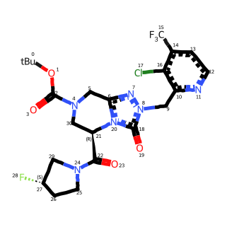 CC(C)(C)OC(=O)N1Cc2nn(Cc3nccc(C(F)(F)F)c3Cl)c(=O)n2[C@@H](C(=O)N2CC[C@H](F)C2)C1